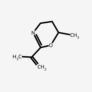 C=C(C)C1=NCCC(C)O1